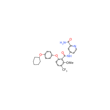 COc1c(C(F)(F)F)ccc(Oc2ccc(OC3CCCCC3)cc2)c1C(=O)Nc1ccnc(C(N)=O)c1